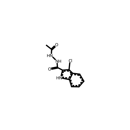 CC(=O)NNC(=O)c1[nH]c2ccccc2c1Cl